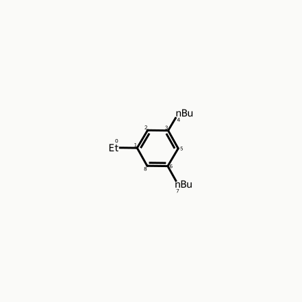 [CH2]Cc1cc(CCCC)cc(CCCC)c1